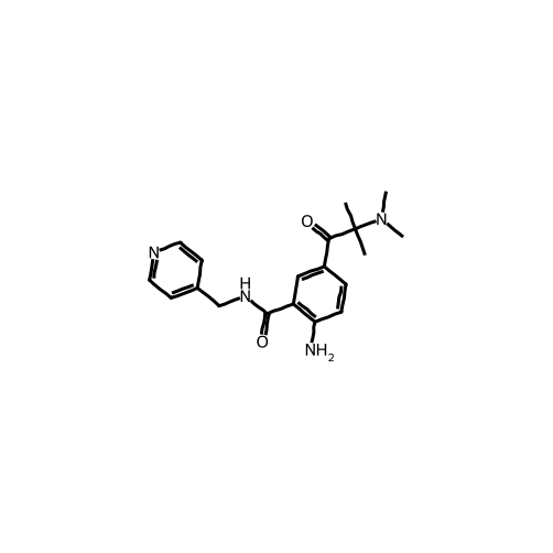 CN(C)C(C)(C)C(=O)c1ccc(N)c(C(=O)NCc2ccncc2)c1